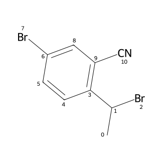 CC(Br)c1ccc(Br)cc1C#N